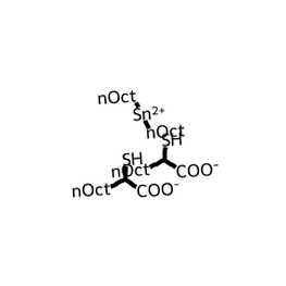 CCCCCCCCC(S)C(=O)[O-].CCCCCCCCC(S)C(=O)[O-].CCCCCCC[CH2][Sn+2][CH2]CCCCCCC